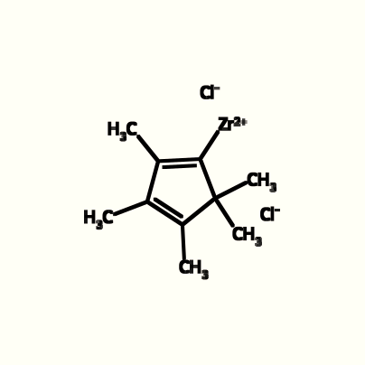 CC1=C(C)C(C)(C)[C]([Zr+2])=C1C.[Cl-].[Cl-]